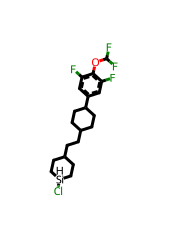 Fc1cc(C2CCC(CCC3CC[SiH](Cl)CC3)CC2)cc(F)c1OC(F)F